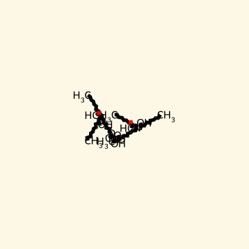 CCCCCCCCC(O)CN(CCCCCCOC(=O)CC(C)(O)CC(=O)OCCCCCCN(CC(O)CCCCCCCC)CC(O)CCCCCCCC)CC(O)CCCCCCCC